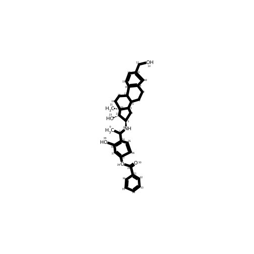 CC(N[C@@H]1CC2C3CCc4cc(CO)ccc4C3CC[C@]2(C)[C@H]1O)c1ccc(OC(=O)c2ccccc2)cc1O